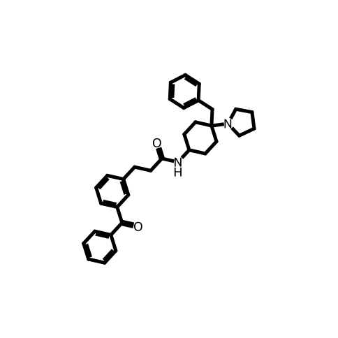 O=C(CCc1cccc(C(=O)c2ccccc2)c1)NC1CCC(Cc2ccccc2)(N2CCCC2)CC1